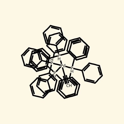 C#[C][Pd]([PH](c1ccccc1)(c1ccccc1)c1ccccc1)([PH](c1ccccc1)(c1ccccc1)c1ccccc1)([PH](c1ccccc1)(c1ccccc1)c1ccccc1)[PH](c1ccccc1)(c1ccccc1)c1ccccc1